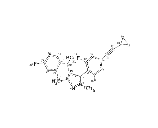 Cc1nn(C)c(-c2c(F)cc(C#CC3CC3)cc2F)c1C(O)c1ccc(F)cc1Cl